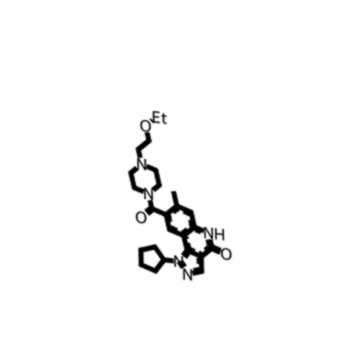 CCOCCN1CCN(C(=O)c2cc3c(cc2C)[nH]c(=O)c2cnn(C4CCCC4)c23)CC1